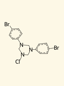 ClN1CN(c2ccc(Br)cc2)CN(c2ccc(Br)cc2)C1